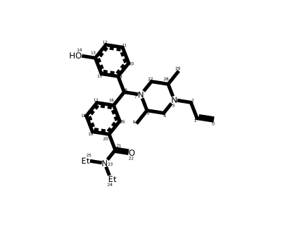 C=CCN1CC(C)N(C(c2cccc(O)c2)c2cccc(C(=O)N(CC)CC)c2)CC1C